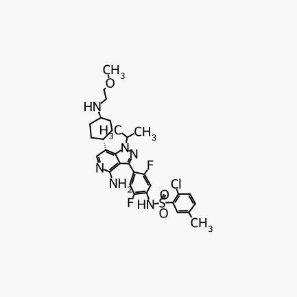 COCCN[C@H]1CC[C@H](c2cnc(N)c3c(-c4cc(F)c(NS(=O)(=O)c5cc(C)ccc5Cl)cc4F)nn(C(C)C)c32)CC1